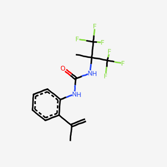 C=C(C)c1ccccc1NC(=O)NC(C)(C(F)(F)F)C(F)(F)F